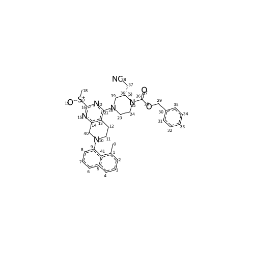 Cc1cccc2cccc(N3CCc4c(nc([S+](C)[O-])nc4N4CCN(C(=O)OCc5ccccc5)[C@@H](CC#N)C4)C3)c12